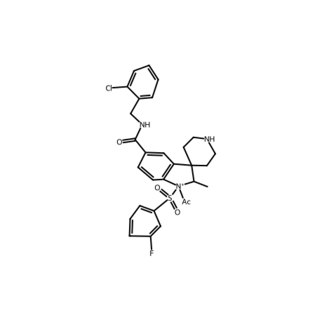 CC(=O)[N+]1(S(=O)(=O)c2cccc(F)c2)c2ccc(C(=O)NCc3ccccc3Cl)cc2C2(CCNCC2)C1C